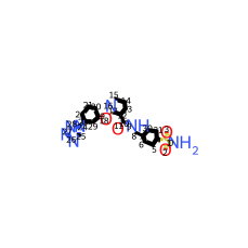 NS(=O)(=O)c1ccc(CNC(=O)c2cccnc2Oc2cccc(-n3cnnn3)c2)cc1